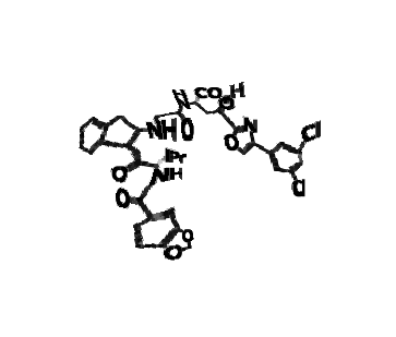 CC(C)[C@H](NC(=O)c1ccc2c(c1)OCO2)C(=O)C1c2ccccc2CC1NCC(=O)N[C@@H](CC(=O)c1nc(-c2cc(Cl)cc(Cl)c2)co1)C(=O)O